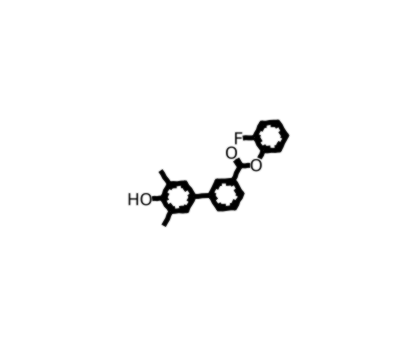 Cc1cc(-c2cccc(C(=O)Oc3ccccc3F)c2)cc(C)c1O